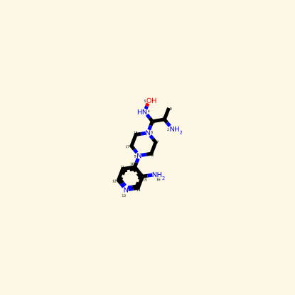 CC(N)C(NO)N1CCN(c2ccncc2N)CC1